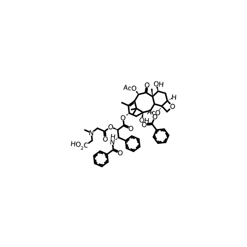 CC(=O)O[C@H]1C(=O)[C@@]2(C)C([C@H](OC(=O)c3ccccc3)[C@]3(O)C[C@H](OC(=O)[C@H](OC(=O)CN(C)CC(=O)O)[C@@H](NC(=O)c4ccccc4)c4ccccc4)C(C)=C1C3(C)C)[C@]1(OC(C)=O)CO[C@@H]1C[C@@H]2O